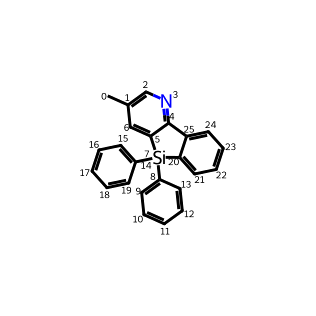 Cc1cnc2c(c1)[Si](c1ccccc1)(c1ccccc1)c1ccccc1-2